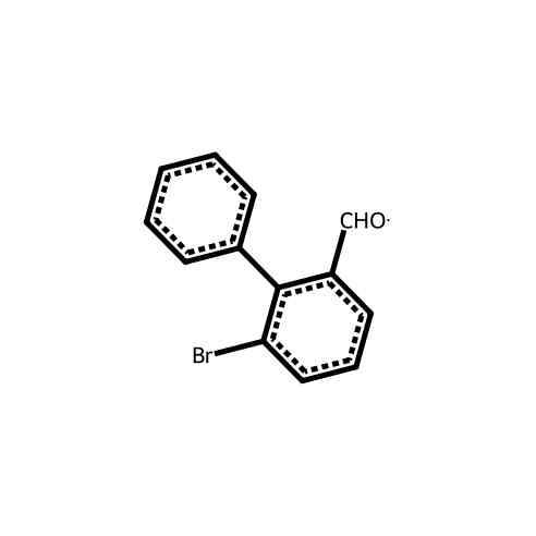 O=[C]c1cccc(Br)c1-c1ccccc1